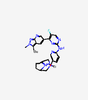 CCN1CC2CCC(C1)N2Cc1ccc(Nc2ncc(F)c(-c3cnc4nn(C)c(C(C)(C)C)c4c3)n2)nc1